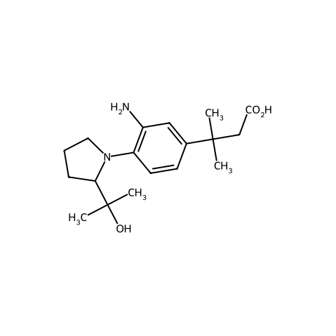 CC(C)(CC(=O)O)c1ccc(N2CCCC2C(C)(C)O)c(N)c1